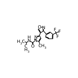 Cc1cc(-c2conc2-c2cccc(C(F)(F)F)c2)nn1C(=O)NC(C)C